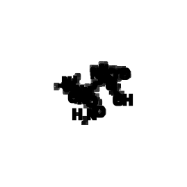 CCn1nc(C)cc1C(=O)/N=c1\n(C)c2cc(C(N)=O)ccc2n1C/C=C/Cn1/c(=N/C)n(C)c2cc(C=O)cc(OCCCO)c21